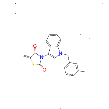 C=C1SC(=O)N(c2cn(Cc3cccc(C)c3)c3ccccc23)C1=O